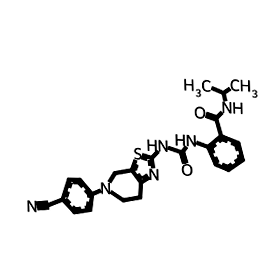 CC(C)NC(=O)c1ccccc1NC(=O)Nc1nc2c(s1)CN(c1ccc(C#N)cc1)CC2